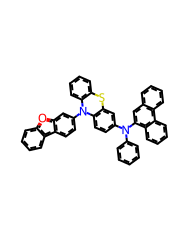 c1ccc(N(c2ccc3c(c2)Sc2ccccc2N3c2ccc3c(c2)oc2ccccc23)c2cc3ccccc3c3ccccc23)cc1